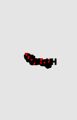 CC1Nc2ccccc2N1c1ccc2cc(-c3ccc4oc5c(ccc6c7ccccc7oc65)c4c3)ccc2c1